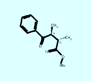 C[C@H](C(=O)OC(C)(C)C)[C@H](C)C(=O)c1ccccc1